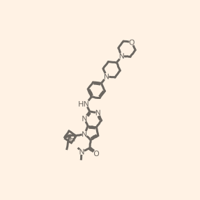 C[C@@H]1C2CC1(n1c(C(=O)N(C)C)cc3cnc(Nc4ccc(N5CCC(N6CCOCC6)CC5)cc4)nc31)C2